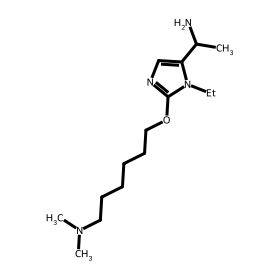 CCn1c(C(C)N)cnc1OCCCCCCN(C)C